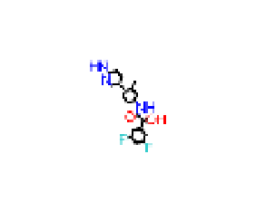 CNc1ccc(-c2ccc(NC(=O)[C@H](O)c3cc(F)cc(F)c3)cc2C)cn1